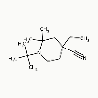 CCC1(C#N)CCN(C(C)(C)C)C(C)(C)C1